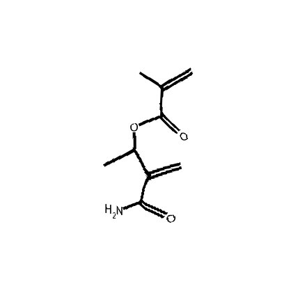 C=C(C)C(=O)OC(C)C(=C)C(N)=O